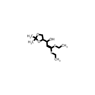 CCSC(=CC(O)C1COC(C)(C)O1)SCC